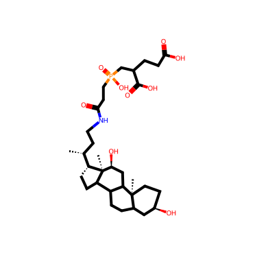 C[C@H](CCNC(=O)CCP(=O)(O)CC(CCC(=O)O)C(=O)O)[C@H]1CCC2C3CCC4C[C@H](O)CC[C@]4(C)C3C[C@H](O)[C@@]21C